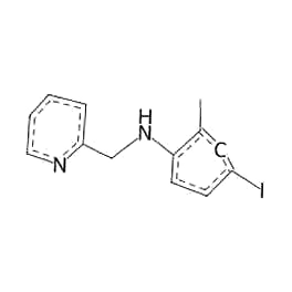 Cc1cc(I)ccc1NCc1ccccn1